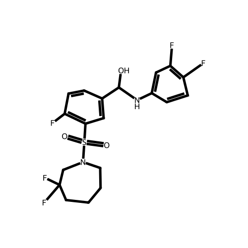 O=S(=O)(c1cc(C(O)Nc2ccc(F)c(F)c2)ccc1F)N1CCCCC(F)(F)C1